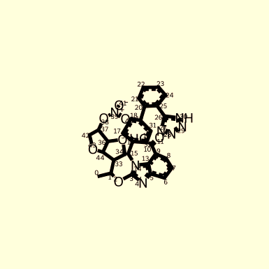 CC(Oc1nc2cccc(C(=O)O)c2n1Cc1ccc(-c2ccccc2-c2nnn[nH]2)cc1)C1COC2C(O[N+](=O)[O-])COC12